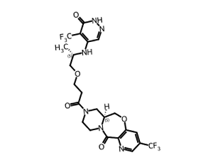 C[C@@H](COCCC(=O)N1CCN2C(=O)c3ncc(C(F)(F)F)cc3OC[C@@H]2C1)Nc1cn[nH]c(=O)c1C(F)(F)F